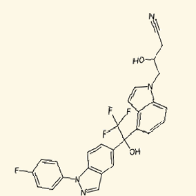 N#CCC(O)Cn1ccc2c(C(O)(c3ccc4c(cnn4-c4ccc(F)cc4)c3)C(F)(F)F)cccc21